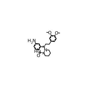 COc1ccc(CC[C@H](c2cccc(N)c2)N2CCCC[C@H]2C(=O)O)cc1OC